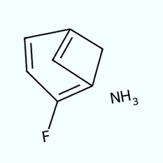 Fc1ccc2cc1C2.N